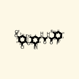 CCc1cc(NC(=O)NC(=O)c2c(F)cccc2F)cc(CC)c1Oc1ccc(OC(F)(F)F)cc1Cl